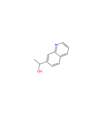 CC(O)c1ccc2cccnc2c1